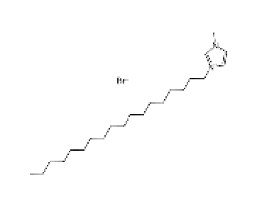 CCCCCCCCCCCCCCCCCC[n+]1ccn(C)c1.[Br-]